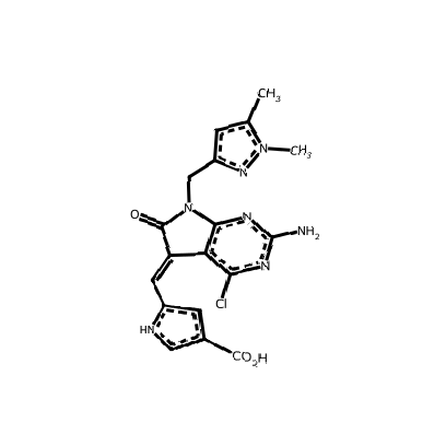 Cc1cc(CN2C(=O)/C(=C/c3cc(C(=O)O)c[nH]3)c3c(Cl)nc(N)nc32)nn1C